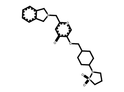 O=c1cc(CN2Cc3ccccc3C2)occ1OCC1CCC(N2CCCS2(=O)=O)CC1